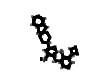 Nc1nc(N2CCC3(CC2)Cc2ccccc2C3)cnc1Sc1ccnc(N2CCC2)c1Cl